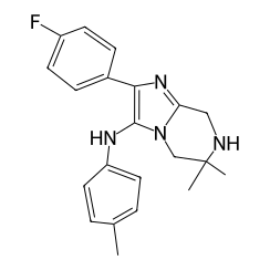 Cc1ccc(Nc2c(-c3ccc(F)cc3)nc3n2CC(C)(C)NC3)cc1